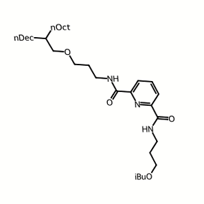 CCCCCCCCCCC(CCCCCCCC)COCCCNC(=O)c1cccc(C(=O)NCCCOCC(C)C)n1